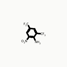 Nc1c([N+](=O)[O-])cc(C(F)(F)F)cc1C(F)(F)F